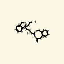 CCCC1(CCN/C2=N/C(=O)Cc3cccnc3CO2)OCc2ccccc21